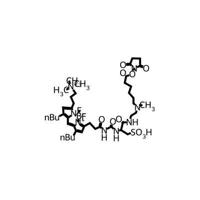 CCCCC1=CC(CCC(=O)NC(=O)NC(CS(=O)(=O)O)C(=O)NCCN(C)CCCCCC(=O)ON2C(=O)CCC2=O)=[N+]2C1=Cc1c(CCCC)cc(CCC[N+](C)(C)C)n1[B-]2(F)F